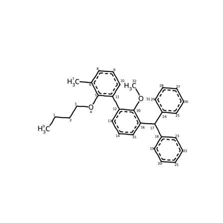 CCCCOc1c(C)cccc1-c1cccc(C(c2ccccc2)c2ccccc2)c1OC